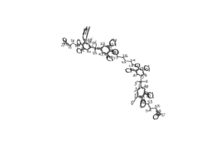 Cc1cc(C(C)(C)c2cc(Cl)c(OCCCCCOc3c(Cl)cc(C(C)(C)c4cc(Cl)c(OCCCC5CO5)c(Cl)c4)cc3Cl)c(Cl)c2)cc(Cl)c1OCCCC1CO1